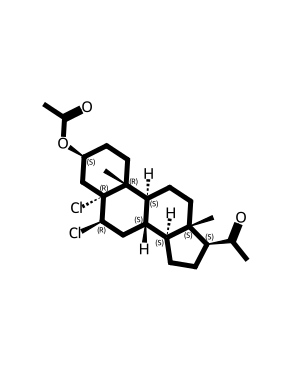 CC(=O)O[C@H]1CC[C@]2(C)[C@H]3CC[C@]4(C)[C@@H](C(C)=O)CC[C@H]4[C@@H]3C[C@@H](Cl)[C@@]2(Cl)C1